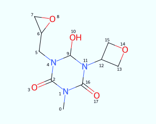 CN1C(=O)N(CC2CO2)C(O)N(C2COC2)C1=O